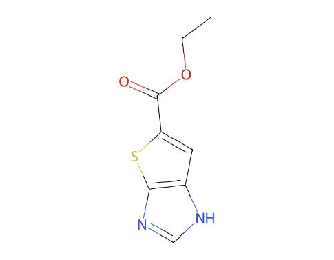 CCOC(=O)c1cc2[nH]cnc2s1